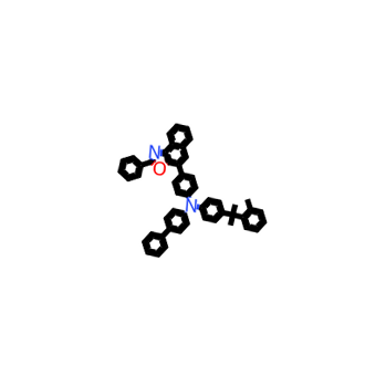 Cc1ccccc1C(C)(C)c1ccc(N(c2ccc(-c3ccccc3)cc2)c2ccc(-c3cc4ccccc4c4nc(-c5ccccc5)oc34)cc2)cc1